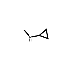 [CH]NC1CC1